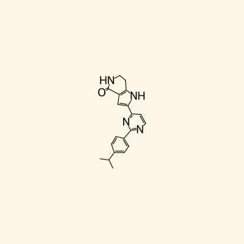 CC(C)c1ccc(-c2nccc(-c3cc4c([nH]3)CCNC4=O)n2)cc1